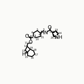 O=C(NCC1CCN(C(=O)OCC2C[C@H]3CCCCC23)CC1)c1cc[nH]c1